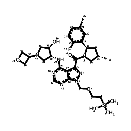 C[Si](C)(C)CCOCn1nc(C(=O)N2C[C@@H](F)C[C@@H]2c2cc(F)ccc2F)c2c(N[C@@H]3CN(C4COC4)C[C@H]3O)ncnc21